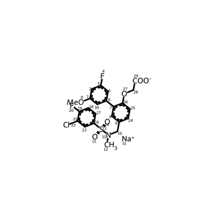 COc1cc(F)cc(-c2cc(CN(C)S(=O)(=O)c3ccc(F)c(Cl)c3)ccc2OCC(=O)[O-])c1.[Na+]